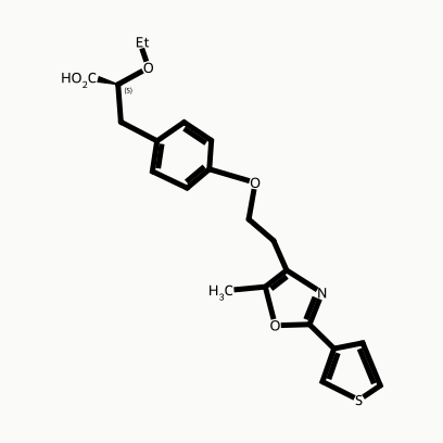 CCO[C@@H](Cc1ccc(OCCc2nc(-c3ccsc3)oc2C)cc1)C(=O)O